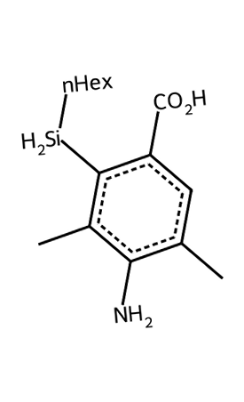 CCCCCC[SiH2]c1c(C(=O)O)cc(C)c(N)c1C